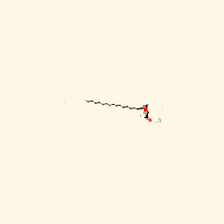 CCCCCCCCCCCCCCCCCCC(O)(CC(=O)C(C)O)C(=O)O